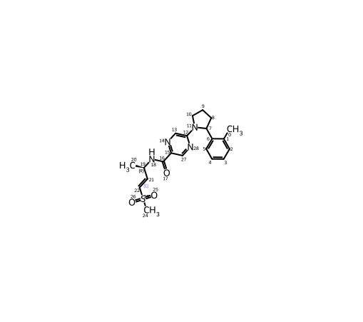 Cc1ccccc1C1CCCN1c1cnc(C(=O)N[C@H](C)/C=C/S(C)(=O)=O)cn1